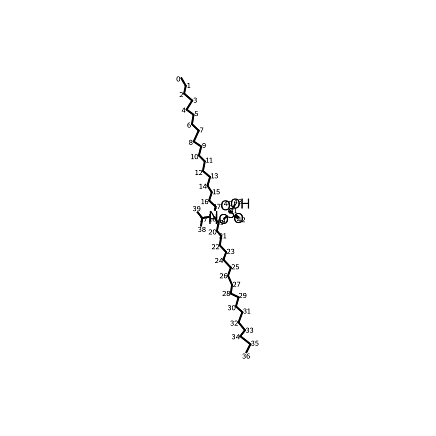 CCCCCCCCCCCCCCCCCCN(CCCCCCCCCCCCCCCCCC)C(C)C.O=S(=O)(O)O